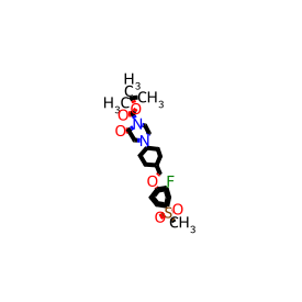 CC(C)(C)OC(=O)N1CCN(C2CCC(COc3ccc(S(C)(=O)=O)cc3F)CC2)CC1=O